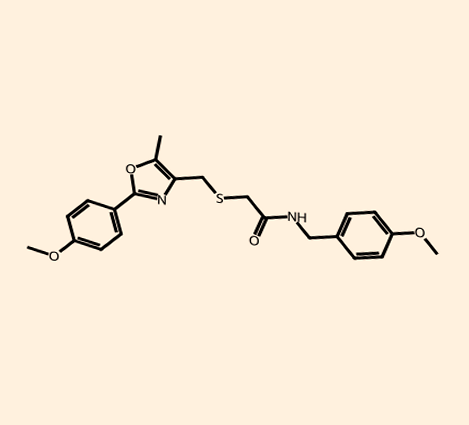 COc1ccc(CNC(=O)CSCc2nc(-c3ccc(OC)cc3)oc2C)cc1